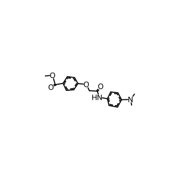 COC(=O)c1ccc(OCC(=O)Nc2ccc(N(C)C)cc2)cc1